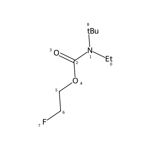 CCN(C(=O)OCCF)C(C)(C)C